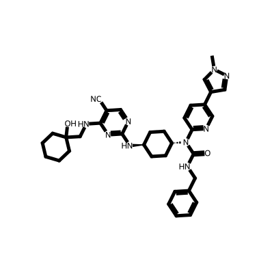 Cn1cc(-c2ccc(N(C(=O)NCc3ccccc3)[C@H]3CC[C@H](Nc4ncc(C#N)c(NCC5(O)CCCCC5)n4)CC3)nc2)cn1